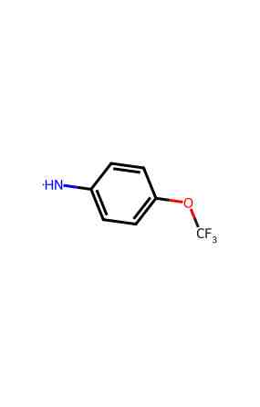 [NH]c1ccc(OC(F)(F)F)cc1